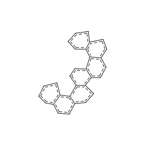 c1ccc2c(c1)ccc1ccc3c4ccc5ccc6ccccc6c5c4ccc3c12